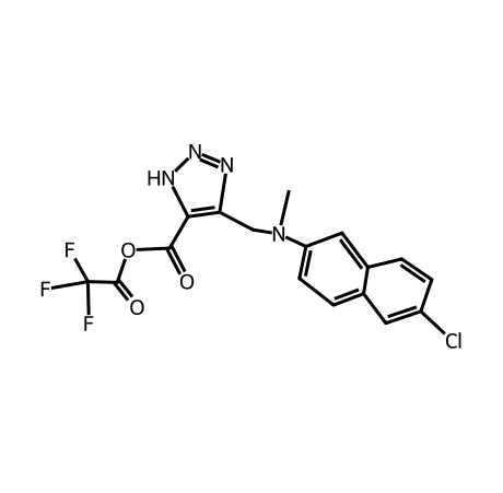 CN(Cc1nn[nH]c1C(=O)OC(=O)C(F)(F)F)c1ccc2cc(Cl)ccc2c1